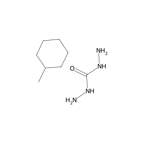 CC1CCCCC1.NNC(=O)NN